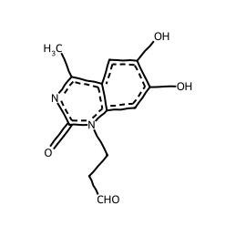 Cc1nc(=O)n(CCC=O)c2cc(O)c(O)cc12